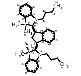 CCCCN1/C(=C2/C/C(=C3/N(CCCC)c4ccccc4S3(C)C)c3ccccc32)S(C)(C)c2ccccc21